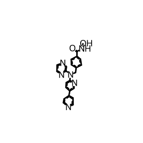 O=C(NO)c1ccc(CN(c2ccc(-c3ccncc3)cn2)c2cnccn2)cc1